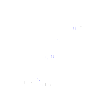 CCCCCCN(CCCCCC)c1ccc(/N=N/c2cc[n+](CCC[N+](CC)(CC)CC)cc2)c2ccccc12